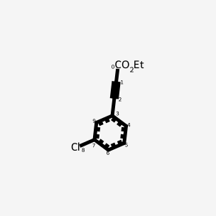 CCOC(=O)C#Cc1cccc(Cl)c1